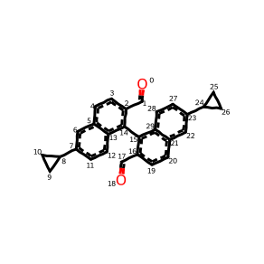 O=Cc1ccc2cc(C3CC3)ccc2c1-c1c(C=O)ccc2cc(C3CC3)ccc12